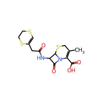 CC1=C(C(=O)O)N2C(=O)C(NC(=O)CC3=CSCCS3)C2SC1